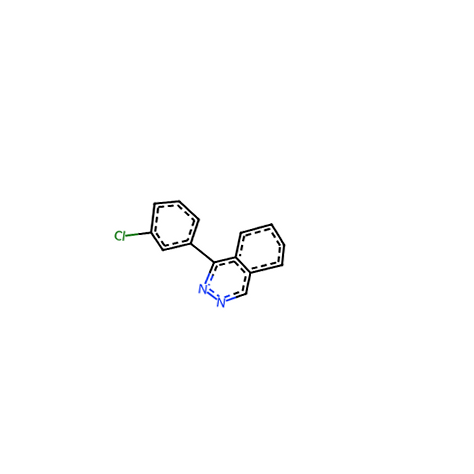 Clc1cccc(-c2nncc3ccccc23)c1